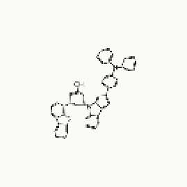 Cc1cc(-c2cccc3c2sc2ccccc23)cc(-n2c3ccccc3c3ccc(-c4ccc(N(c5ccccc5)c5ccccc5)cc4)cc32)c1